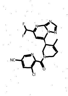 CC1=CCN(C(=O)c2ncc(C#N)cc2Cl)C[C@H]1c1cc(C(F)F)nc2ncnn12